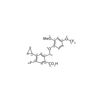 COc1cc(OC(F)(F)F)ccc1OCc1cc(C2CC2)c(F)cc1C(=O)O